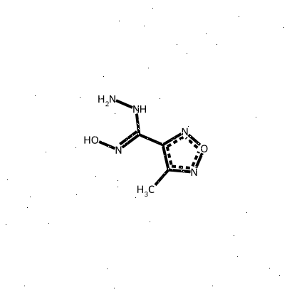 Cc1nonc1C(=NO)NN